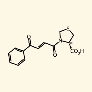 O=C(C=CC(=O)N1CSC[C@H]1C(=O)O)c1ccccc1